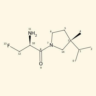 CC(C)[C@@]1(C)CCN(C(=O)[C@H](N)CF)C1